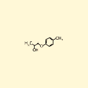 Cc1ccc(O[CH]C(C)O)cc1